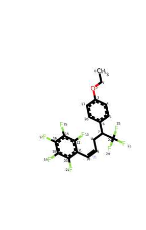 CCOc1ccc(C(C/C=C\c2c(F)c(F)c(F)c(F)c2F)C(F)(F)F)cc1